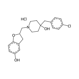 Cl.Oc1ccc2c(c1)CC(CN1CCC(O)(Cc3ccc(Cl)cc3)CC1)O2